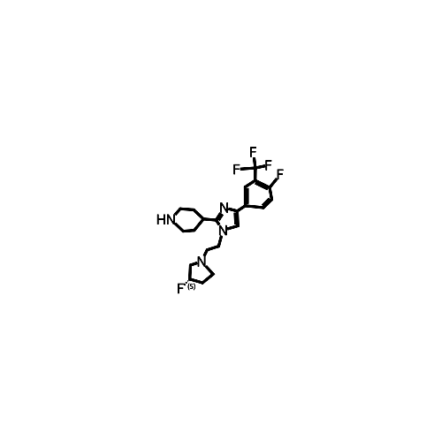 Fc1ccc(-c2cn(CCN3CC[C@H](F)C3)c(C3CCNCC3)n2)cc1C(F)(F)F